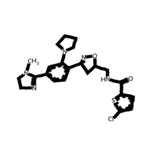 CN1CCN=C1c1ccc(C2=NOC(CNC(=O)c3ccc(Cl)s3)C2)c(N2CCCC2)c1